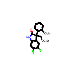 CCOC(=O)CC1(c2ccccc2OC)C(=O)Nc2cc(Cl)c(Cl)cc21